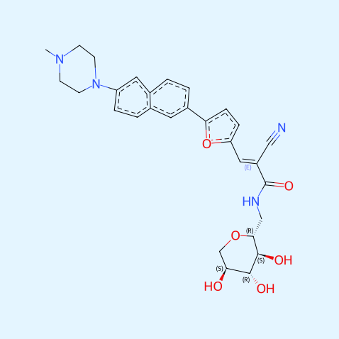 CN1CCN(c2ccc3cc(-c4ccc(/C=C(\C#N)C(=O)NC[C@H]5OC[C@H](O)[C@@H](O)[C@@H]5O)o4)ccc3c2)CC1